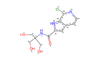 O=C(NC(CO)(CO)CO)c1cc2ccnc(Cl)c2[nH]1